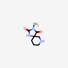 CN1C(=O)NC2(CCCNC2)C1=O